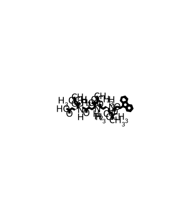 C=C(OC(C)(C)C)[C@@H](CCC(=O)NC(CCC(=O)CN[C@H](CCC(=O)O)C(=O)OC(C)(C)C)C(O)OC(C)(C)C)NC(=O)OCC1C2=C(C=CCC2)c2ccccc21